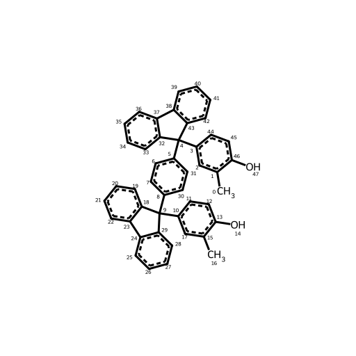 Cc1cc(C2(c3ccc(C4(c5ccc(O)c(C)c5)c5ccccc5-c5ccccc54)cc3)c3ccccc3-c3ccccc32)ccc1O